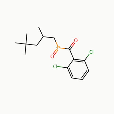 CC(C[P](=O)C(=O)c1c(Cl)cccc1Cl)CC(C)(C)C